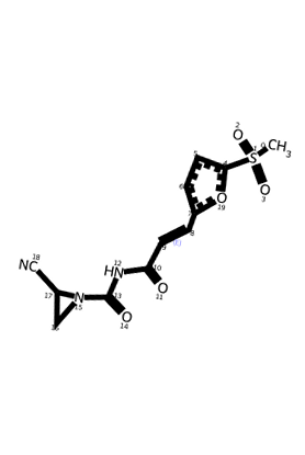 CS(=O)(=O)c1ccc(/C=C/C(=O)NC(=O)N2CC2C#N)o1